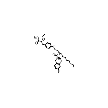 CCCCCCCCN(CCOc1ccc(CC(OCC)C(=O)O)cc1)C(=O)NCc1ccc(F)cc1F